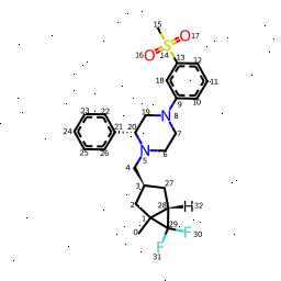 CC12C[C@@H](CN3CCN(c4cccc(S(C)(=O)=O)c4)C[C@H]3c3ccccc3)C[C@@H]1C2(F)F